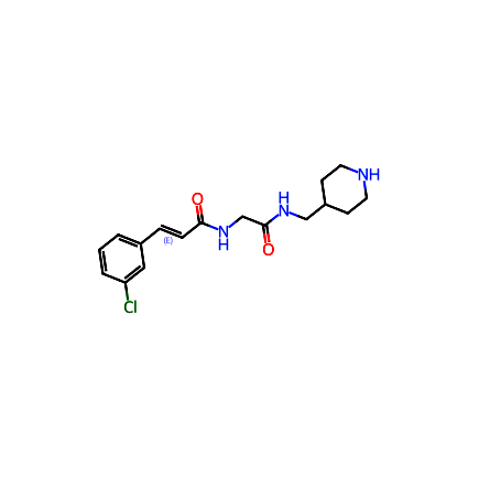 O=C(/C=C/c1cccc(Cl)c1)NCC(=O)NCC1CCNCC1